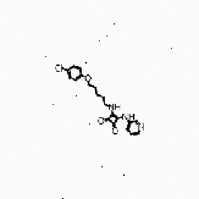 O=c1c(NCCCCCOc2ccc(Cl)cc2)c(Nc2cccnc2)c1=O